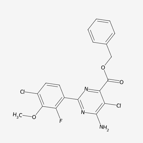 COc1c(Cl)ccc(-c2nc(N)c(Cl)c(C(=O)OCc3ccccc3)n2)c1F